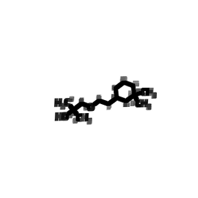 CC(C)(O)COCCC1CCCC(C)(C)C1